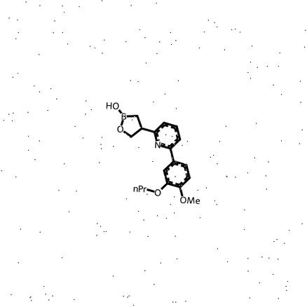 CCCOc1cc(-c2cccc(C3COB(O)C3)n2)ccc1OC